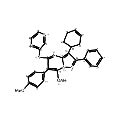 COc1ccc(-c2c(Nc3cnccn3)nc3c(C4CC=CCC4)c(-c4ccccc4)nn3c2OC)cc1